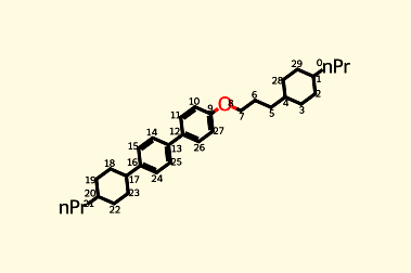 CCCC1CCC(CCCOc2ccc(-c3ccc(C4CCC(CCC)CC4)cc3)cc2)CC1